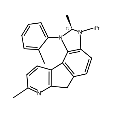 Cc1ccc2c(n1)Cc1ccc3c(c1-2)N(c1ccccc1C)[C@@H](C)N3C(C)C